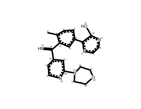 Cc1ccc(-c2nccnc2O)cc1C(=N)c1ccnc(N2CCOCC2)c1